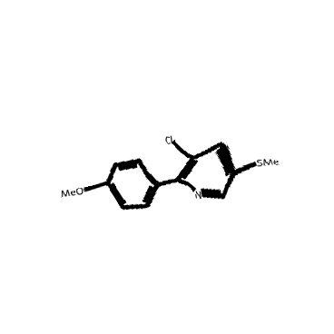 COc1ccc(-c2ncc(SC)cc2Cl)cc1